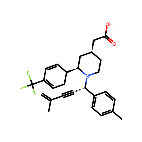 C=C(C)C#C[C@@H](c1ccc(C)cc1)N1CC[C@H](CC(=O)O)C[C@@H]1C1C=CC(C(F)(F)F)=CC1